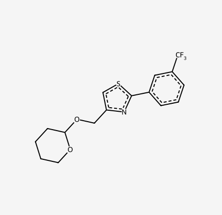 FC(F)(F)c1cccc(-c2nc(COC3CCCCO3)cs2)c1